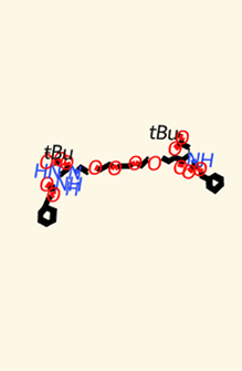 CC(C)(C)OC(=O)C[C@H](NC(=O)OCc1ccccc1)C(=O)CCCOCCOCCOCCOCCNC(=O)[C@@H](NC(=O)OCc1ccccc1)NC(=O)OC(C)(C)C